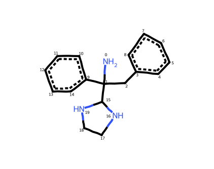 NC(Cc1ccccc1)(c1ccccc1)C1NCCN1